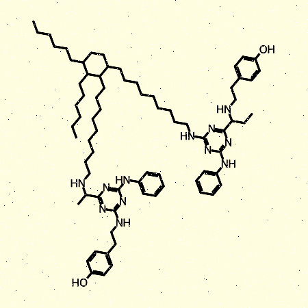 CCCCCCC1CCC(CCCCCCCCCNc2nc(Nc3ccccc3)nc(C(CC)NCCc3ccc(O)cc3)n2)C(CCCCCCCCCNC(C)c2nc(NCCc3ccc(O)cc3)nc(Nc3ccccc3)n2)C1CCCCCC